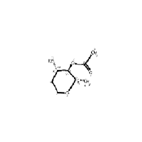 CC(=O)O[C@H]1[C@H](C)OCC[C@@H]1O